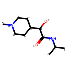 CC(C)NC(=O)C([O])C1CCN(C)CC1